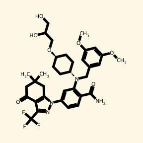 COc1cc(CN(c2cc(-n3nc(C(F)(F)F)c4c3CC(C)(C)CC4=O)ccc2C(N)=O)[C@H]2CC[C@H](OCC(O)CO)CC2)cc(OC)c1